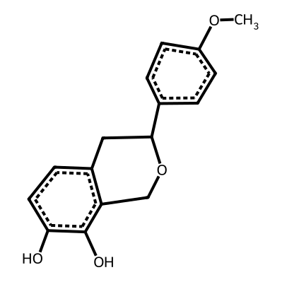 COc1ccc(C2Cc3ccc(O)c(O)c3CO2)cc1